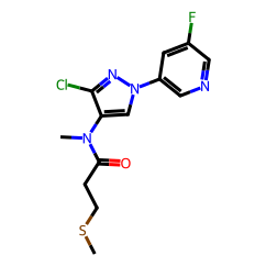 CSCCC(=O)N(C)c1cn(-c2cncc(F)c2)nc1Cl